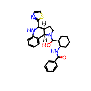 O=C(N[C@@H]1CCCC[C@@H]1C(O)N1CC[C@@H]2[C@H](c3nccs3)Nc3ccccc3[C@@H]21)c1ccccc1